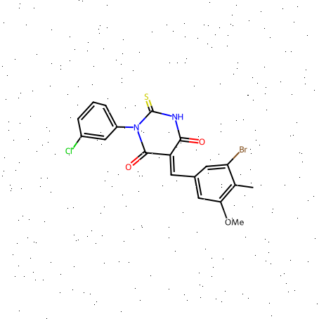 COc1cc(/C=C2\C(=O)NC(=S)N(c3cccc(Cl)c3)C2=O)cc(Br)c1C